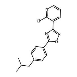 CC(C)Cc1ccc(-c2nc(-c3cccnc3Cl)no2)cc1